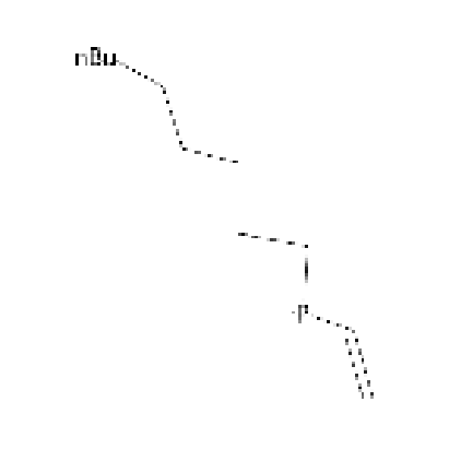 C=C[P]CCCCCCCCC